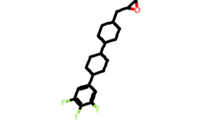 Fc1cc(C2CCC(C3CCC(CC4CO4)CC3)CC2)cc(F)c1F